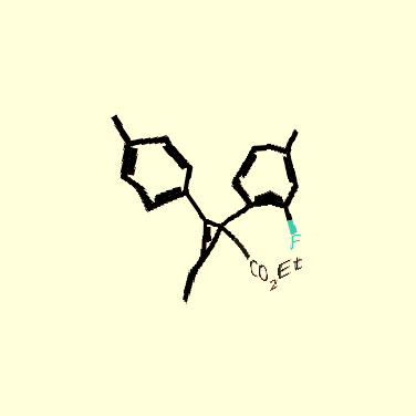 CCOC(=O)C1(c2ccc(C)cc2F)C(C)=C1c1ccc(C)cc1